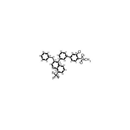 CS(=O)(=O)c1ccc(-c2cccc(-c3c(Cc4ccccc4)cnc4c(C(F)(F)F)cccc34)c2)cc1Cl